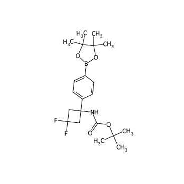 CC(C)(C)OC(=O)NC1(c2ccc(B3OC(C)(C)C(C)(C)O3)cc2)CC(F)(F)C1